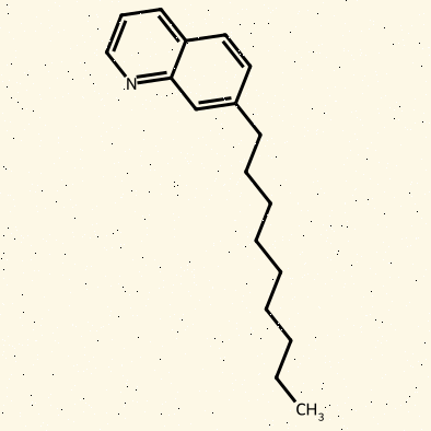 CCCCCCCCCc1ccc2cccnc2c1